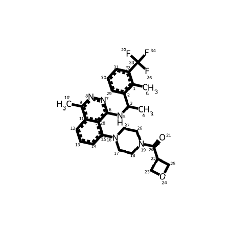 Cc1c(C(C)Nc2nnc(C)c3cccc(N4CCN(C(=O)C5COC5)CC4)c23)cccc1C(F)(F)F